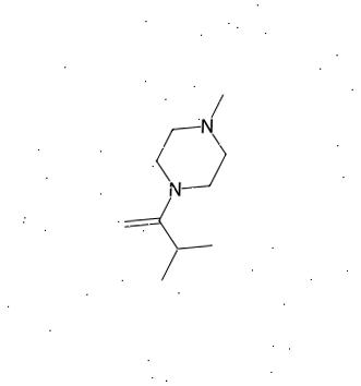 C=C(C(C)C)N1CCN(C)CC1